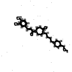 COCC1CCN(CCCCN2CCN(C(=O)/C=C/c3ccc(Cl)c(Cl)c3)CCC2=O)CC1